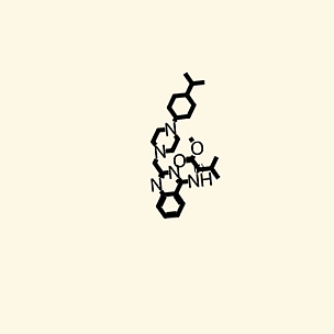 COC(=O)[C@@H](Nc1nc(CN2CCN(C3CCC(C(C)C)CC3)CC2)nc2ccccc12)C(C)C